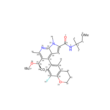 COCC(C)(C)NC(=O)c1cc2c(-c3cc(F)c4c(c3C)CCCO4)c([C@H](OC(C)(C)C)C(=O)O)c(C)nc2n1C